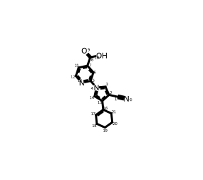 N#Cc1cn(-c2cc(C(=O)O)ccn2)cc1C1=CCCCC1